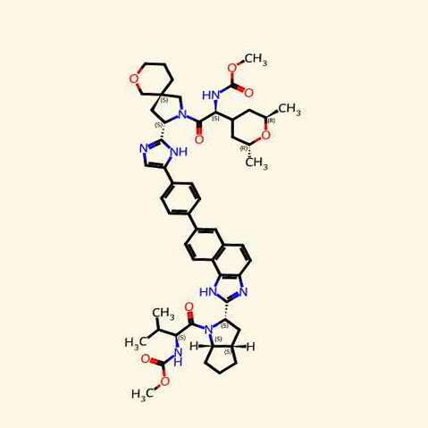 COC(=O)N[C@H](C(=O)N1[C@H](c2nc3ccc4cc(-c5ccc(-c6cnc([C@@H]7C[C@@]8(CCCOC8)CN7C(=O)[C@@H](NC(=O)OC)C7C[C@@H](C)O[C@H](C)C7)[nH]6)cc5)ccc4c3[nH]2)C[C@@H]2CCC[C@@H]21)C(C)C